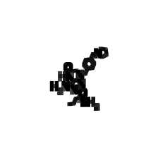 B[C@@H](CCC)Oc1nc(N)c2c(n1)N(Cc1ccc(CN3CCCC3)cc1)CC(=O)N2